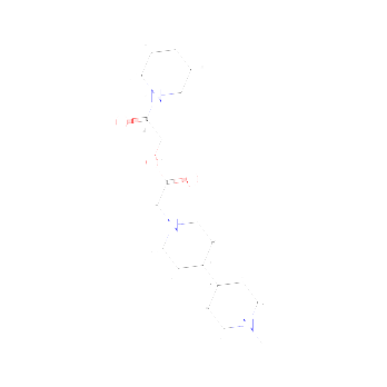 CN1CCC(C2CCN(CC(=O)OCC(=O)N3CCCCC3)CC2)CC1